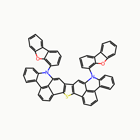 c1ccc2c(c1)oc1c(-n3c4ccccc4c4cccc5c6sc7c(cc8c9c(cccc79)c7ccccc7n8-c7cccc8c7oc7ccccc78)c6cc3c45)cccc12